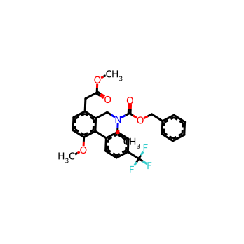 CCN(Cc1c(CC(=O)OC)ccc(OC)c1-c1ccc(C(F)(F)F)cc1)C(=O)OCc1ccccc1